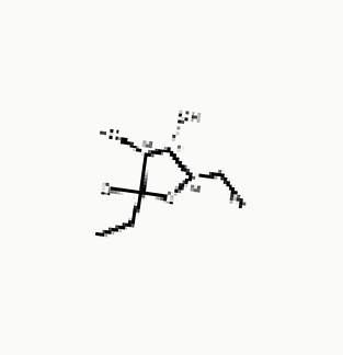 CCC1(O)O[C@H](C[18F])[C@@H](O)[C@@H]1O